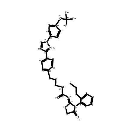 CCCc1ccccc1N1C(=O)CS/C1=N\C(=S)NCCCc1ccc(-c2ncn(-c3ccc(OC(F)(F)F)cc3)n2)cc1